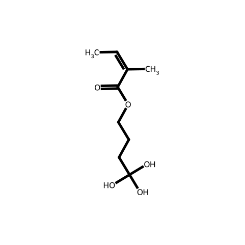 CC=C(C)C(=O)OCCCC(O)(O)O